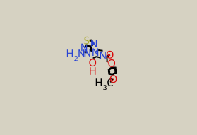 COc1ccc(OCC(=O)N2CCN(c3nc(N)nc4scnc34)C(CO)C2)cc1